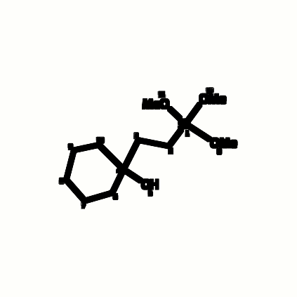 CO[Si](CCC1(O)CCCCC1)(OC)OC